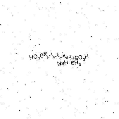 CC(CCCCCCCCCC(=O)O)C(=O)O.[NaH]